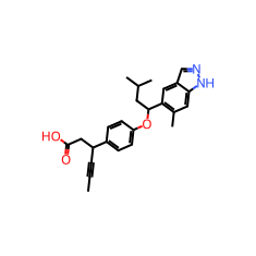 CC#CC(CC(=O)O)c1ccc(OC(CC(C)C)c2cc3cn[nH]c3cc2C)cc1